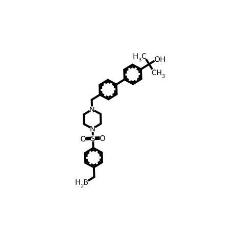 BCc1ccc(S(=O)(=O)N2CCN(Cc3ccc(-c4ccc(C(C)(C)O)cc4)cc3)CC2)cc1